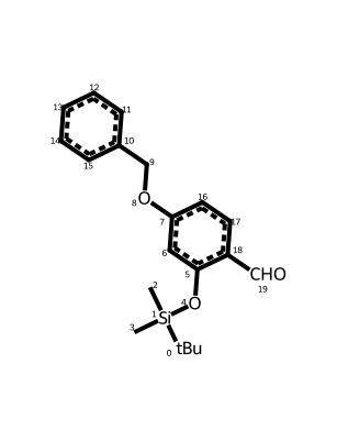 CC(C)(C)[Si](C)(C)Oc1cc(OCc2ccccc2)ccc1C=O